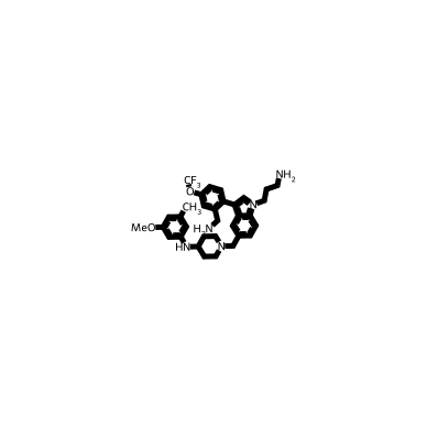 COc1cc(C)cc(NC2CCN(Cc3ccc4c(c3)c(-c3ccc(OC(F)(F)F)cc3CN)cn4CCCN)CC2)c1